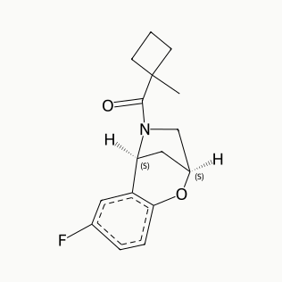 CC1(C(=O)N2C[C@@H]3C[C@H]2c2cc(F)ccc2O3)CCC1